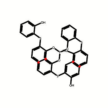 Oc1ccccc1Sc1ccccc1OP(Oc1ccccc1Sc1ccccc1O)Oc1ccccc1Sc1ccccc1O